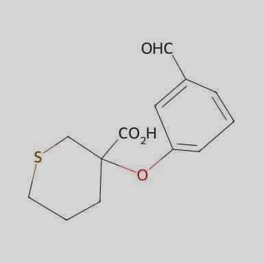 O=Cc1cccc(OC2(C(=O)O)CCCSC2)c1